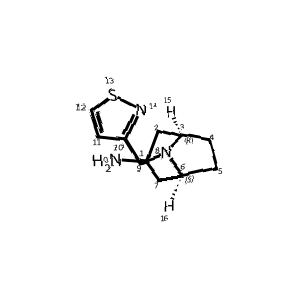 NC1C[C@H]2CC[C@@H](C1)N2Cc1ccsn1